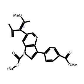 C=C(C)/C(=C(/C)OC)c1cnc2c(-c3ccc(C(=O)OC)cc3)cn(C(=O)OC(C)(C)C)c2c1